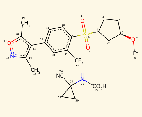 CCO[C@@H]1CC[C@@H](S(=O)(=O)c2ccc(-c3c(C)noc3C)cc2C(F)(F)F)C1.N#CC1(NC(=O)O)CC1